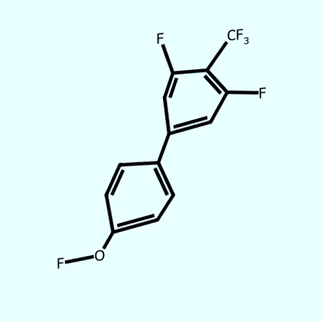 FOc1ccc(-c2cc(F)c(C(F)(F)F)c(F)c2)cc1